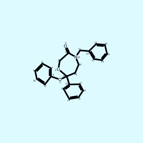 O=C1COC(Oc2ccccc2)(c2ccccc2)CCN1Cc1ccccc1